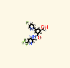 CC(O)c1cc(C(=O)NCc2ccc(C(F)(F)F)nc2)cc(-c2ccc(F)cn2)c1